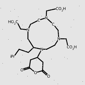 CC(C)CCC1CN(CC(=O)O)CCN(CC(=O)O)CCN(CC(=O)O)CCN1C1CC(=O)OC(=O)C1